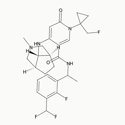 CC(NC(=O)c1cn(C2(CF)CC2)c(=O)cc1N[C@@H]1[C@@H]2CC[C@H]1CN(C)C2)c1cccc(C(F)F)c1F